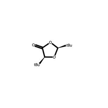 CC(C)(C)[C@@H]1OC(=O)[C@H](C(C)(C)C)O1